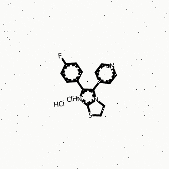 Cl.Cl.Fc1ccc(-c2nc3n(c2-c2ccncc2)CCS3)cc1